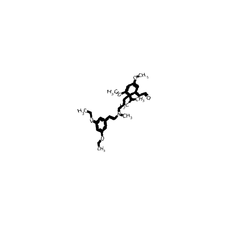 CCOc1cc(CCN(C)CCCC2(C(C)C)C(OC)=CC(OC)=CC2CC=O)cc(OCC)c1